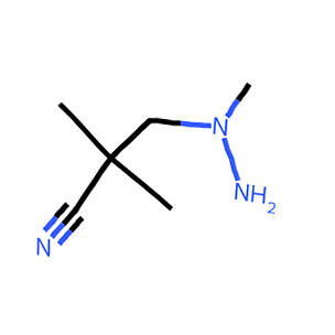 CN(N)CC(C)(C)C#N